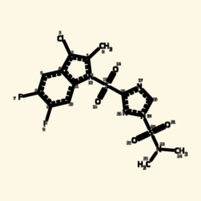 Cc1c(Cl)c2cc(F)c(F)cc2n1S(=O)(=O)c1ncn(S(=O)(=O)N(C)C)n1